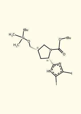 CC(C)(C)OC(=O)N1C[C@@H](CO[Si](C)(C)C(C)(C)C)C[C@H]1c1nc(I)c(I)[nH]1